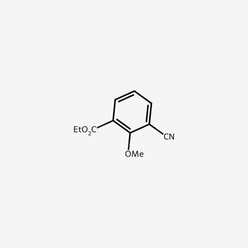 CCOC(=O)c1cccc(C#N)c1OC